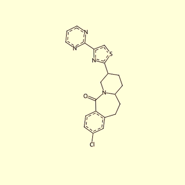 O=C1c2ccc(Cl)cc2CCC2CCC(c3nc(-c4ncccn4)cs3)CN12